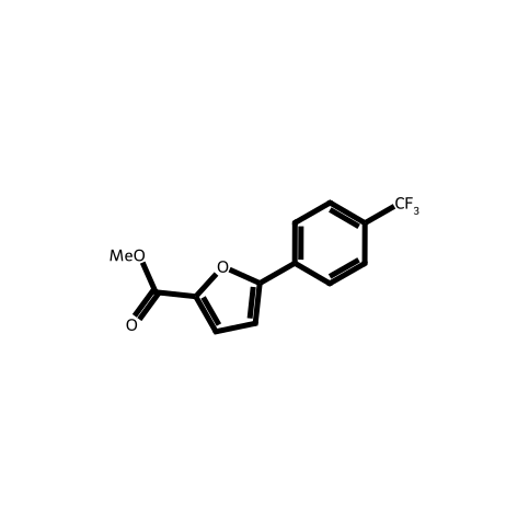 COC(=O)c1ccc(-c2ccc(C(F)(F)F)cc2)o1